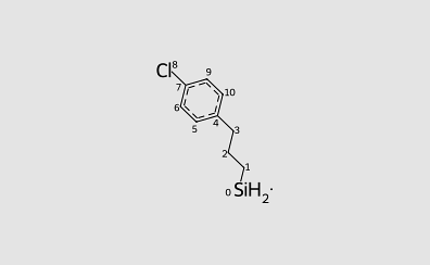 [SiH2]CCCc1ccc(Cl)cc1